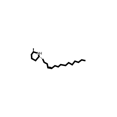 CCCCCCCCCC/C=C\CCC[C@@H]1CCC[C@@H](C)N1